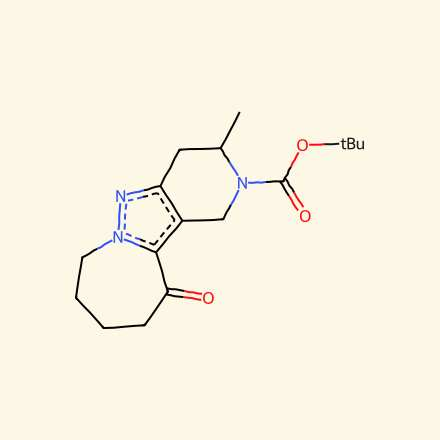 CC1Cc2nn3c(c2CN1C(=O)OC(C)(C)C)C(=O)CCCC3